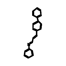 C(=C\c1ccc(-c2ccccc2)cc1)/C=N/c1ccccc1